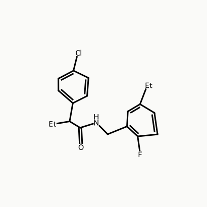 CCc1ccc(F)c(CNC(=O)C(CC)c2ccc(Cl)cc2)c1